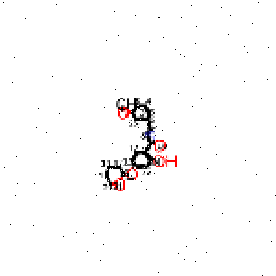 COc1cccc(/C=C/C(=O)c2ccc(OC3CCCCO3)cc2O)c1